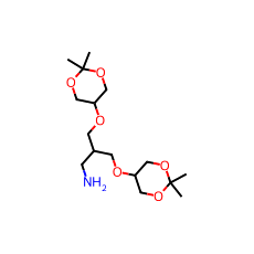 CC1(C)OCC(OCC(CN)COC2COC(C)(C)OC2)CO1